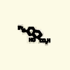 CC(C)Oc1ccc2ccc(C(=O)O)c(O)c2c1